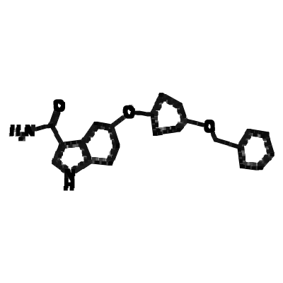 NC(=O)c1c[nH]c2ccc(Oc3ccc(OCc4ccccc4)cc3)cc12